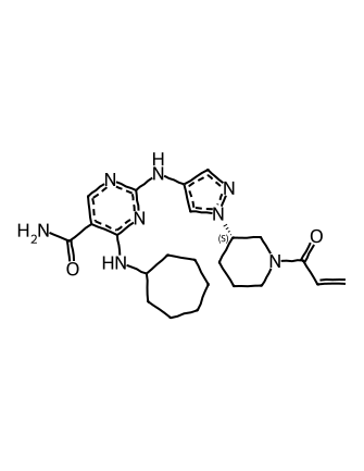 C=CC(=O)N1CCC[C@H](n2cc(Nc3ncc(C(N)=O)c(NC4CCCCCC4)n3)cn2)C1